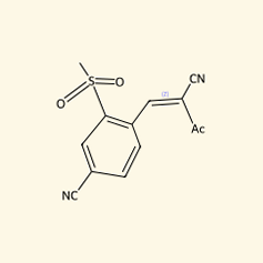 CC(=O)/C(C#N)=C\c1ccc(C#N)cc1S(C)(=O)=O